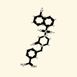 N=C(N)c1cccc(CN2CCN(S(=O)(=O)c3cccc4c(Cl)cccc34)CC2=O)c1